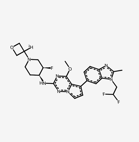 [2H]C1(N2CC[C@H](Nc3nc(OC)c4c(-c5ccc6nc(C)n(CC(F)F)c6c5)ccn4n3)[C@H](F)C2)COC1